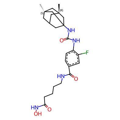 C[C@]12CC3CC(NC(=O)Nc4ccc(C(=O)NCCCCC(=O)NO)cc4F)(C1)C[C@@](C)(C3)C2